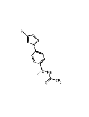 C[C@@H](NC(=O)C(F)(F)F)c1ccc(-n2cc(F)cn2)cc1